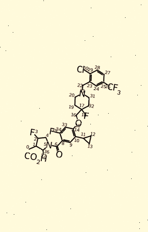 CC1C(F)CN(C(=O)c2cc(C3CC3)c(OCC3(F)CCN(Cc4cc(C(F)(F)F)ccc4Cl)CC3)cc2F)C1C(=O)O